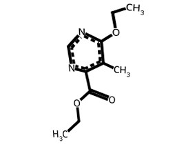 CCOC(=O)c1ncnc(OCC)c1C